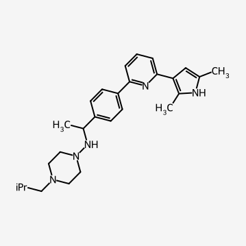 Cc1cc(-c2cccc(-c3ccc(C(C)NN4CCN(CC(C)C)CC4)cc3)n2)c(C)[nH]1